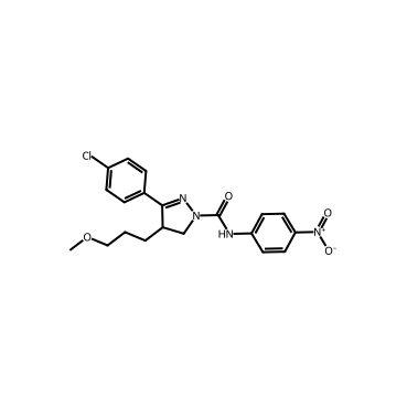 COCCCC1CN(C(=O)Nc2ccc([N+](=O)[O-])cc2)N=C1c1ccc(Cl)cc1